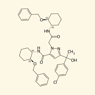 CC(O)(c1ccc(Cl)cc1)c1cc(C(=O)N[C@H]2CCCC[C@@H]2OCc2ccccc2)n(CC(=O)N[C@H]2CCCC[C@@H]2OCc2ccccc2)n1